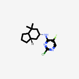 CC1(C)C[C@H](Nc2nc(Cl)ncc2F)C[C@@H]2CCCC21